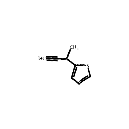 C#CC(C)c1cccs1